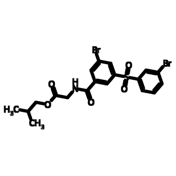 CC(C)COC(=O)CNC(=O)c1cc(Br)cc(S(=O)(=O)c2cccc(Br)c2)c1